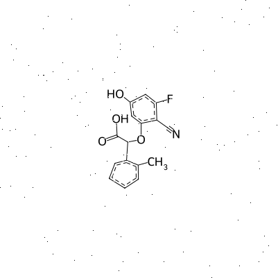 Cc1ccccc1C(Oc1cc(O)cc(F)c1C#N)C(=O)O